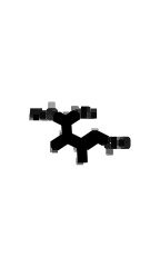 CCCCC(OC)C(C)C(C)=CC=O